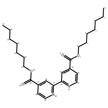 CCCCCCCOC(=O)c1ccnc(-c2cc(C(=O)OCCCCCCC)ccn2)c1